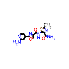 Cc1nc(C(N)=O)c(NC(=O)c2coc(-c3ccnc(N)c3)n2)s1